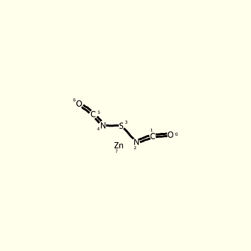 O=C=NSN=C=O.[Zn]